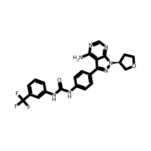 Nc1ncnc2c1c(-c1ccc(NC(=O)Nc3cccc(C(F)(F)F)c3)cc1)nn2[C@H]1CCOC1